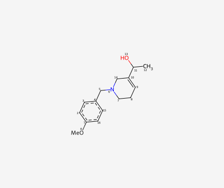 COc1ccc(CN2CCC=C(C(C)O)C2)cc1